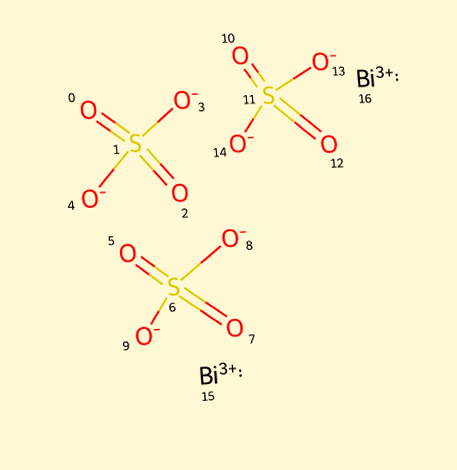 O=S(=O)([O-])[O-].O=S(=O)([O-])[O-].O=S(=O)([O-])[O-].[Bi+3].[Bi+3]